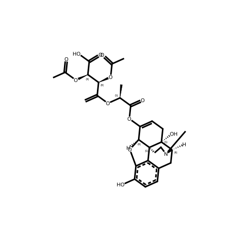 C=C(O[C@@H](C)C(=O)OC1=CC[C@@]2(O)[C@H]3Cc4ccc(O)c5c4[C@@]2(CCN3C)[C@H]1O5)[C@H](OC(C)=O)[C@@H](OC(C)=O)C(=O)O